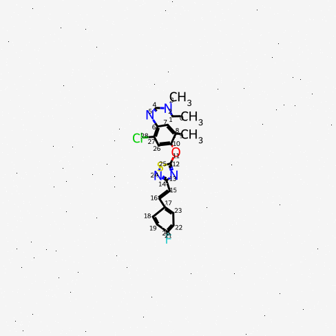 CCN(C)/C=N\c1cc(C)c(Oc2nc(/C=C/c3ccc(F)cc3)ns2)cc1Cl